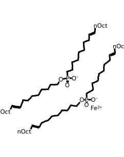 CCCCCCCCC=CCCCCCCCCOP(=O)([O-])CCCCCCCCC=CCCCCCCCC.CCCCCCCCC=CCCCCCCCCOP(=O)([O-])CCCCCCCCC=CCCCCCCCC.[Fe+2]